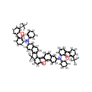 CC(C)(C)c1cccc2c1oc1c(N(c3ccccc3)c3ccc4c5c(ccc4c3)-c3c(ccc4oc6c7ccc(N(c8ccccc8)c8cccc9c8oc8c(C(C)(C)C)cccc89)cc7ccc6c34)C5(C)C)cccc12